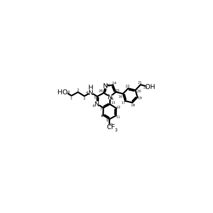 OCCCNc1nc2cc(C(F)(F)F)ccc2n2c(-c3cccc(CO)c3)cnc12